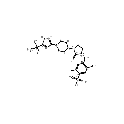 CC(F)(F)c1nc(N2CCC(N3CC[C@H](Oc4cc(F)c(S(C)(=O)=O)cc4F)C3=O)CC2)no1